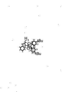 CC1=Cc2ccccc2C1C(C)(C)C1c2ccc(C(C)(C)C)cc2-c2cc(C(C)(C)C)ccc21